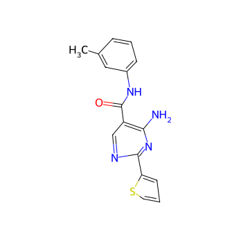 Cc1cccc(NC(=O)c2cnc(-c3cccs3)nc2N)c1